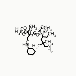 CCC(CC(C)(C)CN)[Si](OC)(OC)OC.CO[Si](CCCNC1CCCCC1)(OC)OC